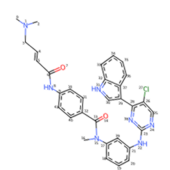 CN(C)CC=CC(=O)Nc1ccc(C(=O)N(C)c2cccc(Nc3ncc(Cl)c(-c4c[nH]c5ccccc45)n3)c2)cc1